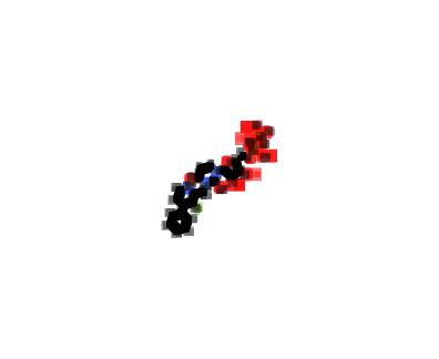 O=c1ccn([C@@H]2O[C@H](COP(=O)(O)OP(=O)(O)O)C(O)C2O)c(=O)n1Cc1nccc(-c2ccccc2)c1F